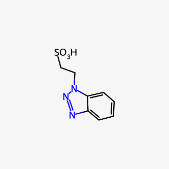 O=S(=O)(O)CCn1nnc2ccccc21